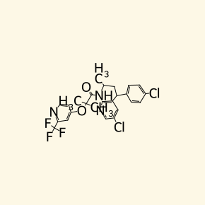 CC(CC(c1ccc(Cl)cc1)c1cncc(Cl)c1)NC(=O)C(C)(C)Oc1ccnc(C(F)(F)F)c1